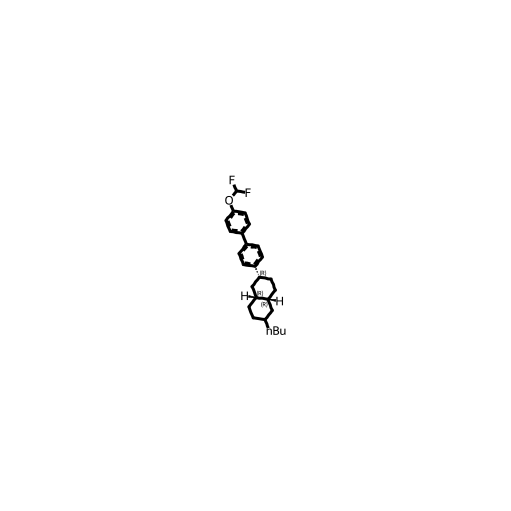 CCCCC1CC[C@@H]2C[C@H](c3ccc(-c4ccc(OC(F)F)cc4)cc3)CC[C@@H]2C1